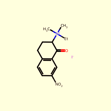 CC[N+](C)(C)C1CCc2ccc([N+](=O)[O-])cc2C1=O.[I-]